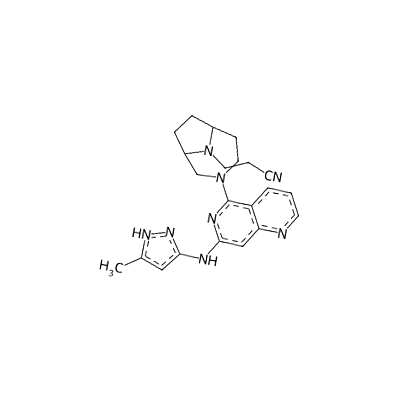 Cc1cc(Nc2cc3ncccc3c(N3CCC4CCC(C3)N4CCC#N)n2)n[nH]1